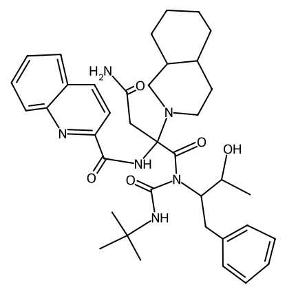 CC(O)C(Cc1ccccc1)N(C(=O)NC(C)(C)C)C(=O)C(CC(N)=O)(NC(=O)c1ccc2ccccc2n1)N1CCC2CCCCC2C1